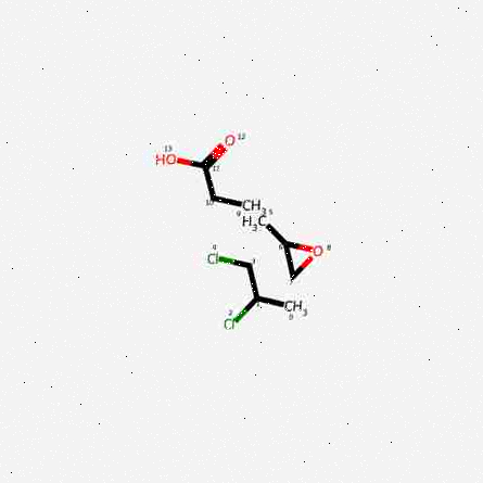 CC(Cl)CCl.CC1CO1.CCC(=O)O